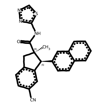 C[C@@]1(C(=O)Nc2nncs2)Cc2ccc(C#N)cc2[C@@H]1c1ccc2ccccc2c1